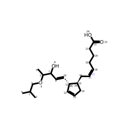 CC(C)COC(C)C(O)C=C[C@H]1C=CC[C@@H]1C/C=C\CCCC(=O)O